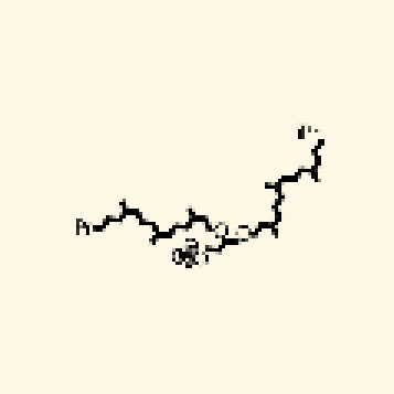 CC(C)CCCC(C)CCCC(C)CCCC(C)CCOCC(CCOS(C)(=O)=O)OCCC(C)CCCC(C)CCCC(C)CCCC(C)C